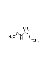 CCCC(C)NOC